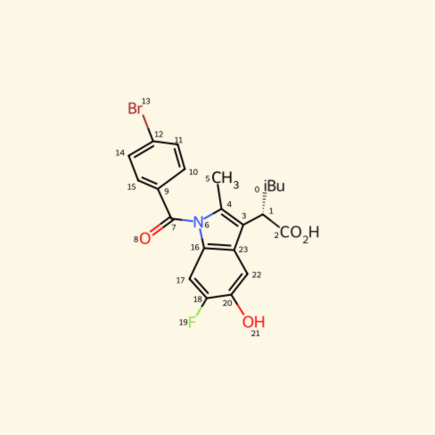 CCC(C)[C@H](C(=O)O)c1c(C)n(C(=O)c2ccc(Br)cc2)c2cc(F)c(O)cc12